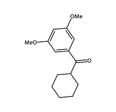 COc1cc(OC)cc(C(=O)C2CCCCC2)c1